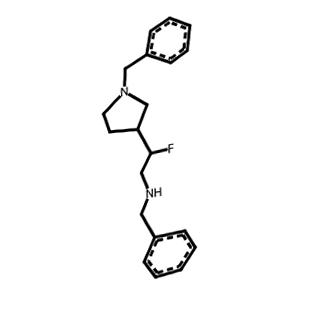 FC(CNCc1ccccc1)C1CCN(Cc2ccccc2)C1